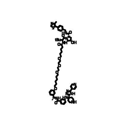 Cc1ncsc1-c1ccc(CNC(=O)[C@@H]2C[C@@H](O)CN2C(=O)C(NC(=O)CCCCCOCCOCCOCCCCCCOc2cccc([C@@H](C)NC(=O)c3cccc(NC4(c5nnc(-c6ccncc6)[nH]5)CCNCC4)c3)c2)C(C)(C)C)cc1